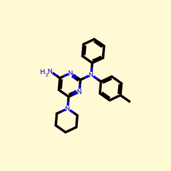 Cc1ccc(N(c2ccccc2)c2nc(N)cc(N3CCCCC3)n2)cc1